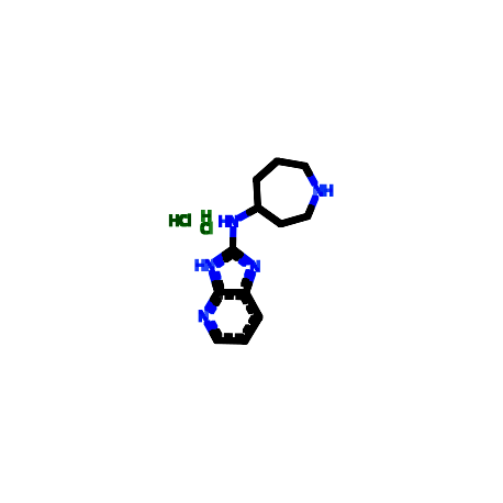 Cl.Cl.c1cnc2[nH]c(NC3CCCNCC3)nc2c1